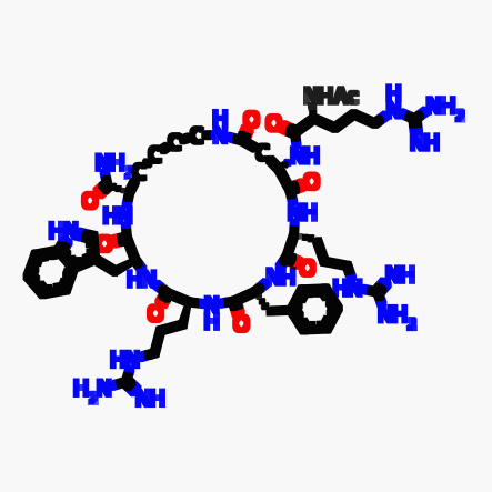 CC(=O)N[C@@H](CCCNC(=N)N)C(=O)N[C@H]1CC(=O)NCCCC[C@@H](C(N)=O)NC(=O)[C@H](Cc2c[nH]c3ccccc23)NC(=O)[C@H](CCCNC(=N)N)NC(=O)[C@@H](Cc2ccccc2)NC(=O)[C@@H](CCCNC(=N)N)NC1=O